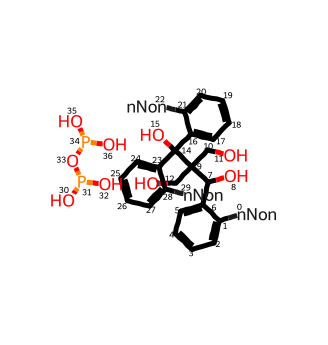 CCCCCCCCCc1ccccc1C(O)C(CO)(CO)C(O)(c1ccccc1CCCCCCCCC)c1ccccc1CCCCCCCCC.OP(O)OP(O)O